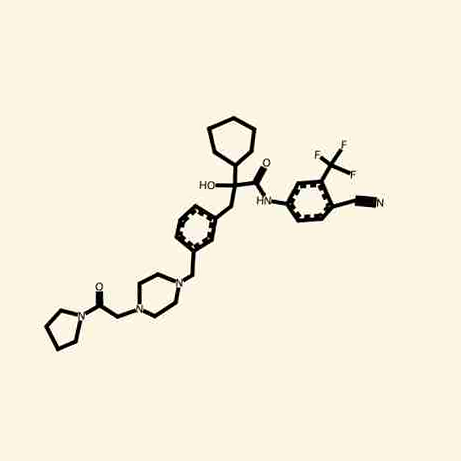 N#Cc1ccc(NC(=O)C(O)(Cc2cccc(CN3CCN(CC(=O)N4CCCC4)CC3)c2)C2CCCCC2)cc1C(F)(F)F